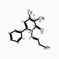 CC(C)C/C=N/n1c(-c2ccccc2)cc(C(F)(F)F)c(C#N)c1=O